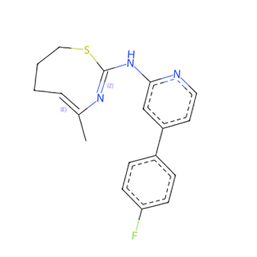 CC1=C\CCCS/C(Nc2cc(-c3ccc(F)cc3)ccn2)=N\1